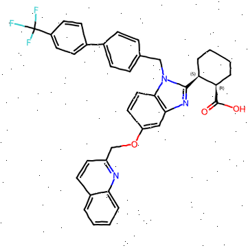 O=C(O)[C@@H]1CCCC[C@@H]1c1nc2cc(OCc3ccc4ccccc4n3)ccc2n1Cc1ccc(-c2ccc(C(F)(F)F)cc2)cc1